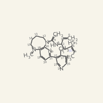 C=CC(C/C(S)=C\C)NC(=C)N1CCCCN(C)c2ccc(-c3cnccc3C)nc21